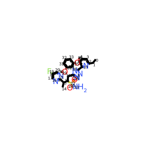 CCc1cccc(-c2nnc(CC(C(C)c3ncc(F)cn3)S(N)(=O)=O)n2-c2c(OC)cccc2OC)n1